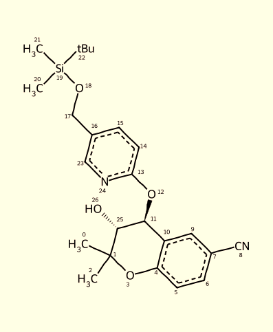 CC1(C)Oc2ccc(C#N)cc2[C@H](Oc2ccc(CO[Si](C)(C)C(C)(C)C)cn2)[C@H]1O